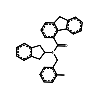 O=C(c1cccc2c1-c1ccccc1C2)N(Cc1ccccc1F)C1Cc2ccccc2C1